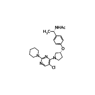 CC(=O)N[C@@H](C)c1ccc(O[C@@H]2CCN(c3nc(N4CCCCC4)ncc3Cl)C2)cc1